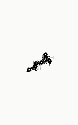 COc1cc2c(Nc3ccc(NC(=O)C(c4cc(F)ccc4O)N4Cc5ccccc5C4=O)cc3F)ncnc2cc1OCC1CCN(C)CC1